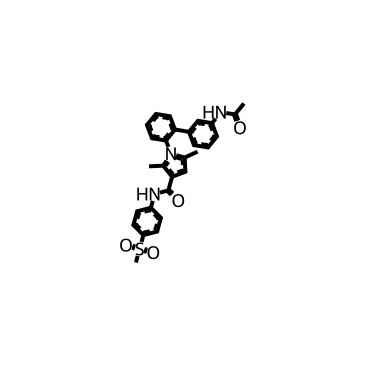 CC(=O)Nc1cccc(-c2ccccc2-n2c(C)cc(C(=O)Nc3ccc(S(C)(=O)=O)cc3)c2C)c1